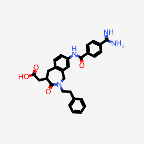 N=C(N)c1ccc(C(=O)Nc2ccc3c(c2)CN(CCc2ccccc2)C(=O)C(CC(=O)O)C3)cc1